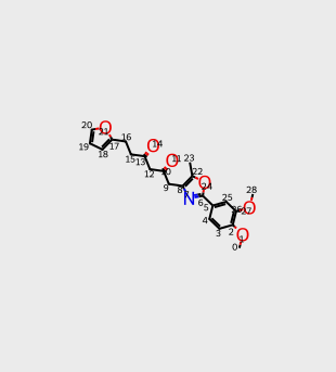 COc1ccc(-c2nc(CC(=O)CC(=O)CCc3ccco3)c(C)o2)cc1OC